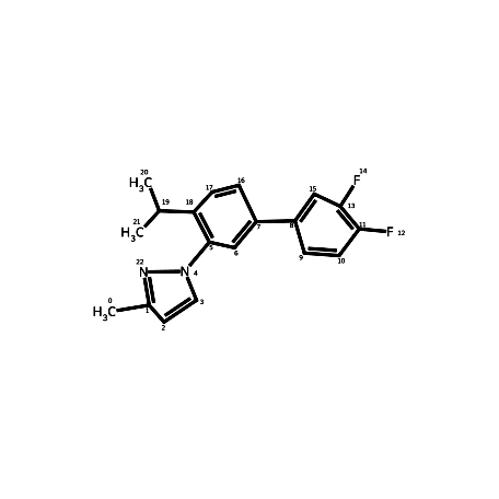 Cc1ccn(-c2cc(-c3ccc(F)c(F)c3)ccc2C(C)C)n1